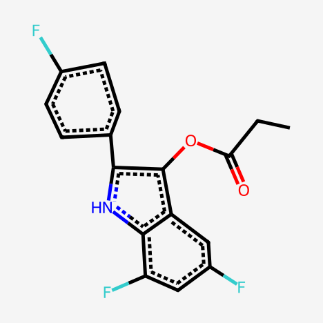 CCC(=O)Oc1c(-c2ccc(F)cc2)[nH]c2c(F)cc(F)cc12